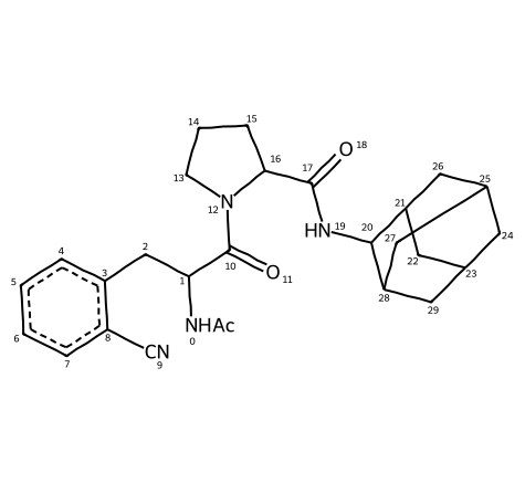 CC(=O)NC(Cc1ccccc1C#N)C(=O)N1CCCC1C(=O)NC1C2CC3CC(C2)CC1C3